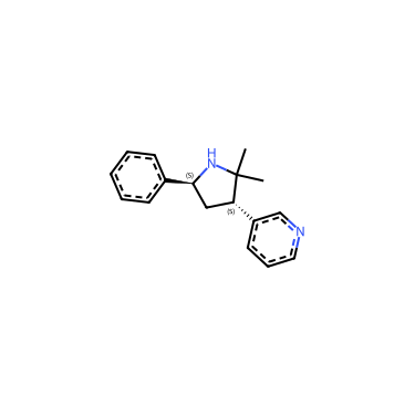 CC1(C)N[C@H](c2ccccc2)C[C@H]1c1cccnc1